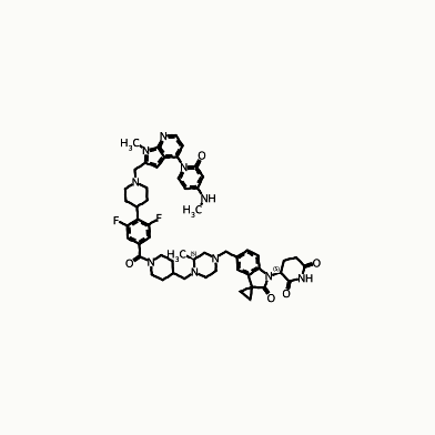 CNc1ccn(-c2ccnc3c2cc(CN2CCC(c4c(F)cc(C(=O)N5CCC(CN6CCN(Cc7ccc8c(c7)C7(CC7)C(=O)N8[C@H]7CCC(=O)NC7=O)C[C@@H]6C)CC5)cc4F)CC2)n3C)c(=O)c1